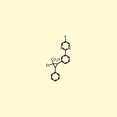 CCC1(C(=O)O)C(c2ccccc2)C1c1cccc(-c2ncc(F)cn2)c1